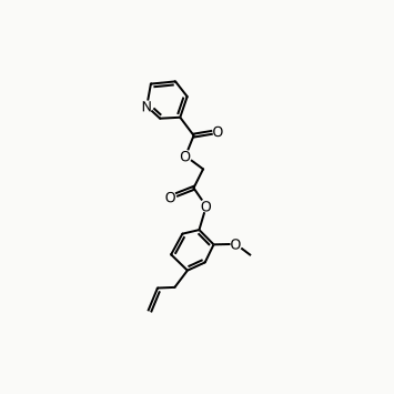 C=CCc1ccc(OC(=O)COC(=O)c2cccnc2)c(OC)c1